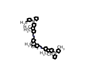 Cc1cccc(N(c2ccccc2)c2ccc3c(c2)C(C)(C)c2cc(/C=C/c4ccc5c(c4)-c4cc(/C=C/c6ccc7c(c6)C(C)(C)c6cc(N(c8ccccc8)c8cccc(C)c8)ccc6-7)ccc4S5(C)C)ccc2-3)c1